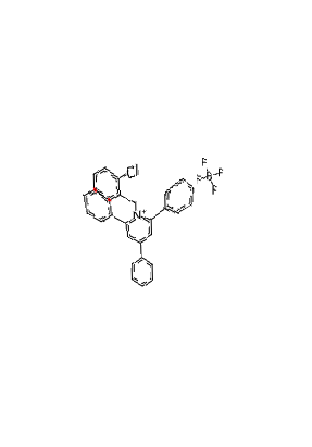 Clc1ccccc1C[n+]1c(-c2ccccc2)cc(-c2ccccc2)cc1-c1ccccc1.F[B-](F)(F)F